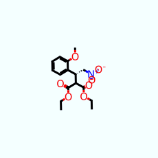 CCOC(=O)C(C(=O)OCC)[C@@H](C[N+](=O)[O-])c1ccccc1OC